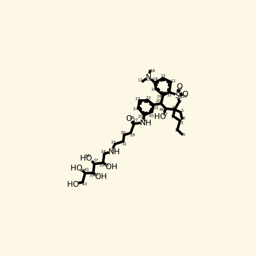 CCCCC1(CC)CS(=O)(=O)c2ccc(N(C)C)cc2C(c2cccc(NC(=O)CCCCNCC(O)C(O)C(O)C(O)CO)c2)C1O